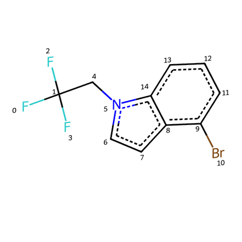 FC(F)(F)Cn1ccc2c(Br)cccc21